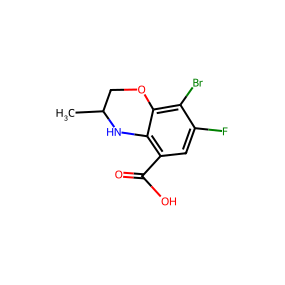 CC1COc2c(Br)c(F)cc(C(=O)O)c2N1